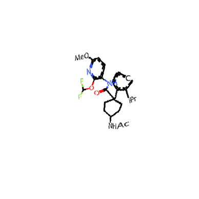 COc1ccc(NC(=O)C2(c3ccccc3C(C)C)CCC(NC(C)=O)CC2)c(OC(F)F)n1